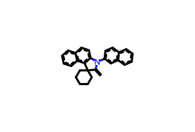 C=C1N(c2ccc3ccccc3c2)c2ccc3ccccc3c2C12CCCCC2